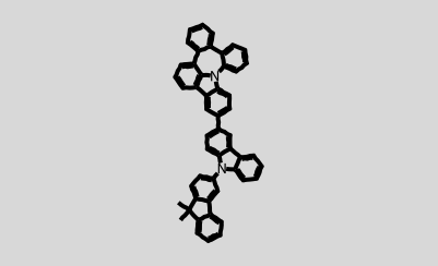 CC1(C)c2ccccc2-c2cc(-n3c4ccccc4c4cc(-c5ccc6c(c5)c5cccc7c5n6-c5ccccc5-c5ccccc5-7)ccc43)ccc21